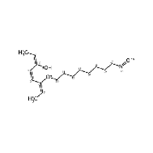 C\C=C(O)/C=C\C(=C/C)OCCCCCCCCN=O